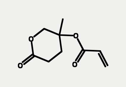 C=CC(=O)OC1(C)CCC(=O)OC1